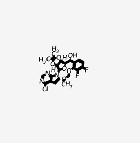 COCOc1c([C@@H](O)[C@H]2OC(n3ccc4c(Cl)ncnc43)[C@@H]3OC(C)(C)O[C@H]23)ccc(F)c1F